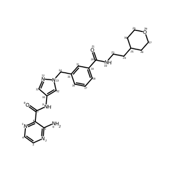 Nc1nccnc1C(=O)Nc1cnn(Cc2cccc(C(=O)NCCC3CCOCC3)c2)c1